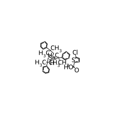 CC(C)([CH2][SnH]([CH2]C(C)(C)c1ccccc1)[CH2]C(C)(C)c1ccccc1)c1ccccc1.O=C(O)c1ccc(Cl)s1